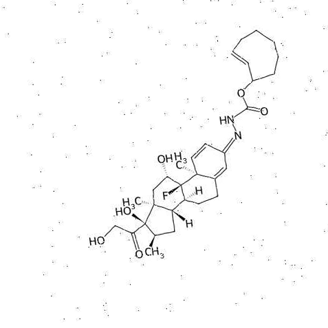 C[C@@H]1C[C@H]2[C@@H]3CCC4=C/C(=N/NC(=O)OC5/C=C/CCCCC5)C=C[C@]4(C)[C@@]3(F)[C@@H](O)C[C@]2(C)[C@@]1(O)C(=O)CO